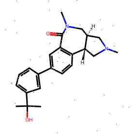 CN1C[C@@H]2CN(C)C(=O)c3cc(-c4cccc(C(C)(C)O)c4)ccc3[C@H]2C1